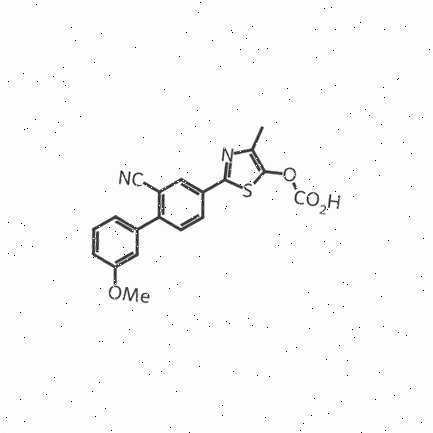 COc1cccc(-c2ccc(-c3nc(C)c(OC(=O)O)s3)cc2C#N)c1